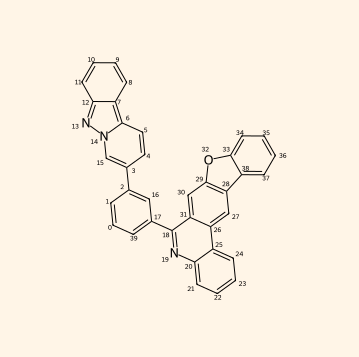 c1cc(-c2ccc3c4ccccc4nn3c2)cc(-c2nc3ccccc3c3cc4c(cc23)oc2ccccc24)c1